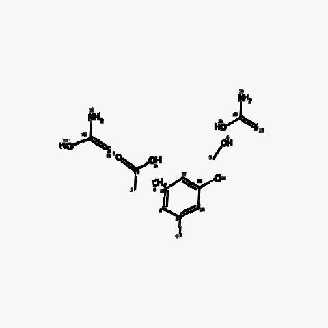 C.CC(=O)O.CO.Cc1cccc(Cl)c1.NC(O)=S.NC(O)=S